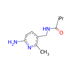 Cc1nc(N)ccc1CNC(=O)C(C)C